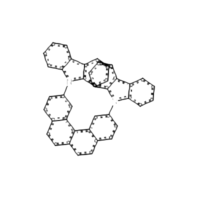 c1ccc2c(c1)c1ccccc1n2-c1ccc2ccc3ccc4ccc(-n5c6ccccc6c6ccccc65)cc4c3c2c1